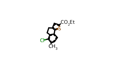 CCOC(=O)c1cc2c(s1)-c1ccc(C)c(Cl)c1CC2